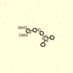 COc1cc(OC)nc(-c2ccc(Oc3ccc(-c4nc(-c5ccccc5)nc(-c5ccccc5)n4)cc3)cc2)n1